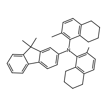 Cc1ccc2c(c1N(c1ccc3c(c1)C(C)(C)c1ccccc1-3)c1c(C)ccc3c1CCCC3)CCCC2